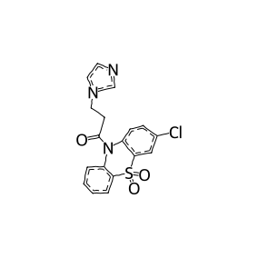 O=C(CCn1ccnc1)N1c2ccccc2S(=O)(=O)c2cc(Cl)ccc21